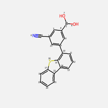 N#Cc1cc(B(O)O)cc(-c2cccc3c2sc2ccccc23)c1